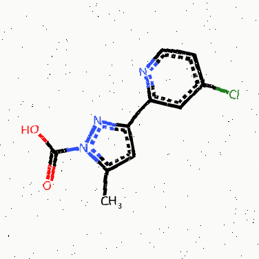 Cc1cc(-c2cc(Cl)ccn2)nn1C(=O)O